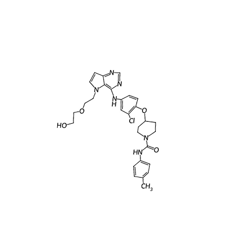 Cc1ccc(NC(=O)N2CCC(Oc3ccc(Nc4ncnc5ccn(CCOCCO)c45)cc3Cl)CC2)cc1